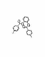 Cc1ccc(C(=O)Oc2ccccc2OC(=O)c2ccc(C)cc2)cc1